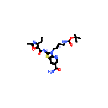 CCc1nc(C)oc1C(=O)/N=c1\sc2cc(C(N)=O)cnc2n1C/C=C/CNC(=O)OC(C)(C)C